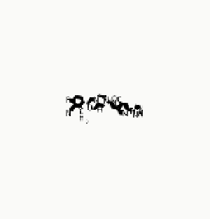 Cc1cc(-n2cnnn2)ncc1CC(=O)N1CCN2C[C@@H](c3ccc(F)c(C#N)c3C)OC[C@H]2C1